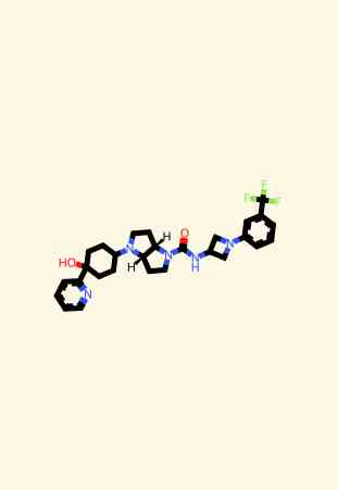 O=C(NC1CN(c2cccc(C(F)(F)F)c2)C1)N1CC[C@H]2[C@@H]1CCN2C1CCC(O)(c2ccccn2)CC1